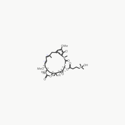 COc1cc2cc(c1Cl)N(C)C(=O)C[C@H](OC(=O)CCC[Si](C)(C)O)[C@@]1(C)O[C@H]1C(C)(C)[C@@H]1C[C@@](O)(NC(=O)O1)[C@H](OC)/C=C/C=C(\C)C2